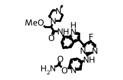 COCC(C(=O)Nc1cccc2c(-c3nc(Nc4ccc(OC(N)=O)nc4)ncc3F)c[nH]c12)N1CCN(C)CC1